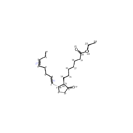 CC/C=C\CC/C=C/[C@H]1CCC(=O)[C@@H]1CCCCCCC(=O)OCC